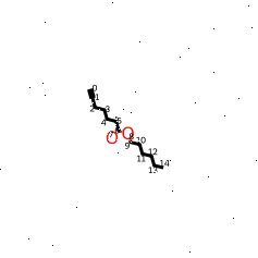 C#CCCC[CH]C(=O)OCCCCCC